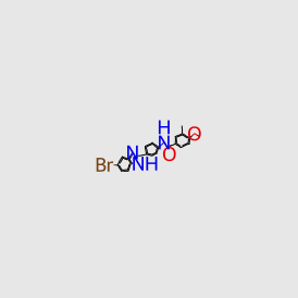 COc1ccc(C(=O)Nc2ccc(-c3nc4cc(Br)ccc4[nH]3)cc2)cc1C